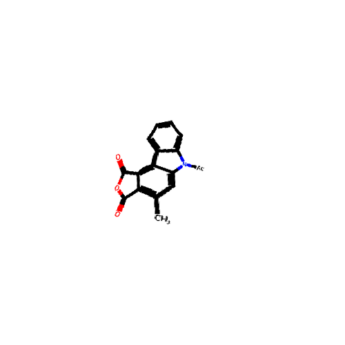 CC(=O)n1c2ccccc2c2c3c(c(C)cc21)C(=O)OC3=O